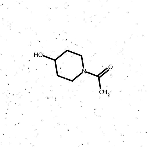 [CH2]C(=O)N1CCC(O)CC1